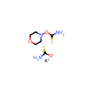 NC(=S)ON1CCOCC1.NC([O-])=S.[K+]